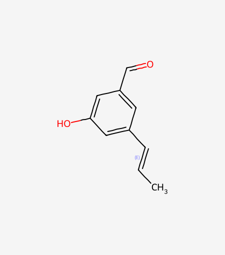 C/C=C/c1cc(O)cc(C=O)c1